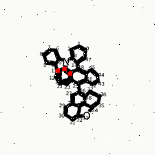 c1ccc(-n2c3ccccc3c3ccccc32)c(-c2c3ccccc3c(-c3cc4cccc5oc6cccc3c6c45)c3ccccc23)c1